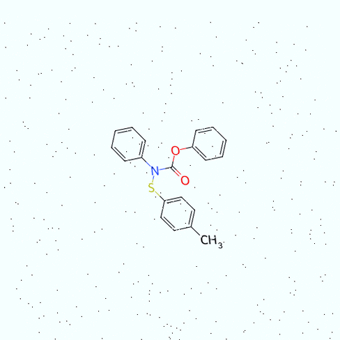 Cc1ccc(SN(C(=O)Oc2ccccc2)c2ccccc2)cc1